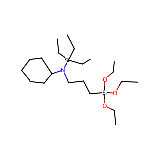 CCO[Si](CCCN(C1CCCCC1)[Si](CC)(CC)CC)(OCC)OCC